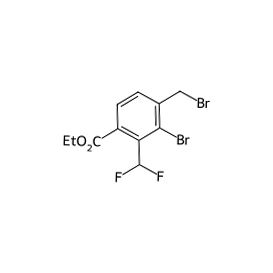 CCOC(=O)c1ccc(CBr)c(Br)c1C(F)F